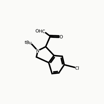 CC(C)(C)N1Cc2ccc(Cl)cc2C1C(=O)C=O